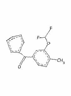 Cc1ccc(C(=O)c2ccccc2)cc1OC(F)F